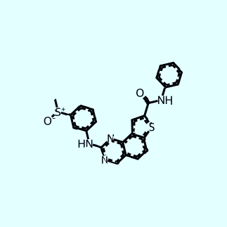 C[S+]([O-])c1cccc(Nc2ncc3ccc4sc(C(=O)Nc5ccccc5)cc4c3n2)c1